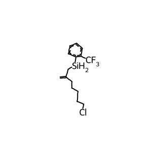 C=C(CCCCCCl)C[SiH2]c1ccccc1C(F)(F)F